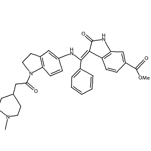 COC(=O)c1ccc2c(c1)NC(=O)/C2=C(\Nc1ccc2c(c1)CCN2C(=O)CC1CCN(C)CC1)c1ccccc1